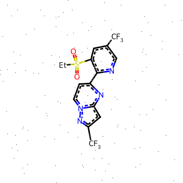 CCS(=O)(=O)c1cc(C(F)(F)F)cnc1-c1ccn2nc(C(F)(F)F)cc2n1